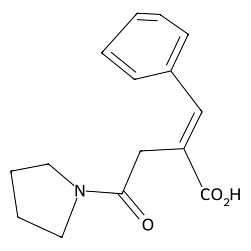 O=C(O)/C(=C/c1ccccc1)CC(=O)N1CCCC1